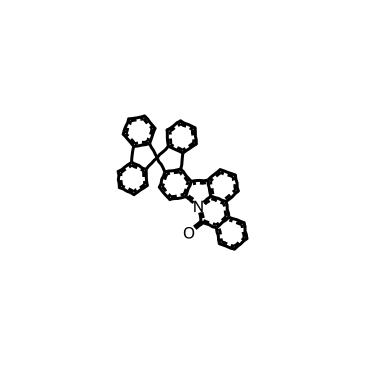 O=c1c2ccccc2c2cccc3c4c5c(ccc4n1c23)C1(c2ccccc2-c2ccccc21)c1ccccc1-5